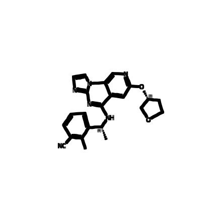 Cc1c(C#N)cccc1[C@@H](C)Nc1nc2nccn2c2cnc(O[C@@H]3CCOC3)cc12